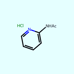 CC(=O)Nc1ccccn1.Cl